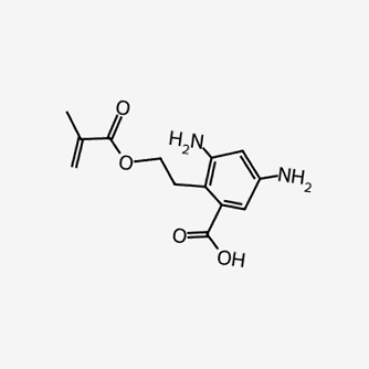 C=C(C)C(=O)OCCc1c(N)cc(N)cc1C(=O)O